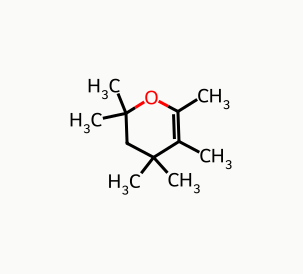 CC1=C(C)C(C)(C)CC(C)(C)O1